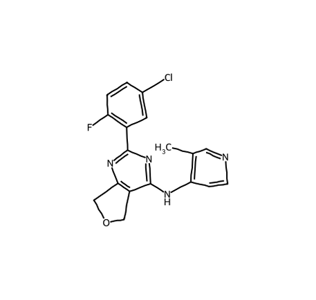 Cc1cnccc1Nc1nc(-c2cc(Cl)ccc2F)nc2c1COC2